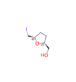 OC[C@@H]1CC[C@H](CI)O1